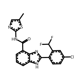 Cc1cnc(NC(=O)c2cccc3[nH]c(-c4ccc(Cl)cc4C(F)F)nc23)s1